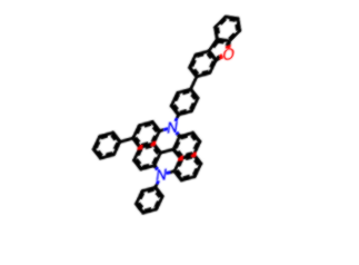 c1ccc(-c2ccc(N(c3ccc(-c4ccc5c(c4)oc4ccccc45)cc3)c3ccccc3-c3ccccc3N(c3ccccc3)c3ccccc3)cc2)cc1